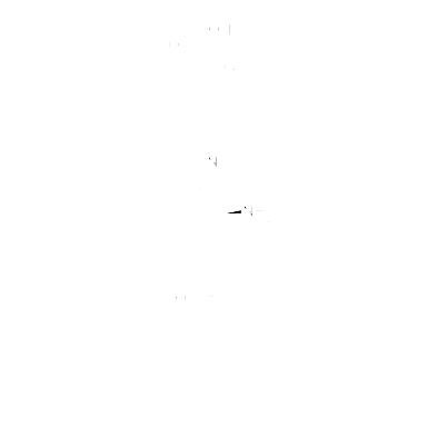 N[C@@H](CCC(=O)OCc1ccccc1)C(=O)NCCCS(=O)(=O)O